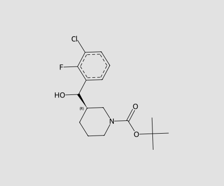 CC(C)(C)OC(=O)N1CCC[C@@H](C(O)c2cccc(Cl)c2F)C1